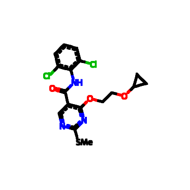 CSc1ncc(C(=O)Nc2c(Cl)cccc2Cl)c(OCCOC2CC2)n1